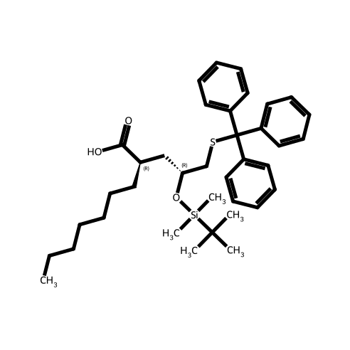 CCCCCCC[C@H](C[C@H](CSC(c1ccccc1)(c1ccccc1)c1ccccc1)O[Si](C)(C)C(C)(C)C)C(=O)O